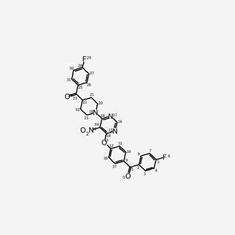 O=C(c1ccc(F)cc1)c1ccc(Oc2ncnc(N3CCC(C(=O)c4ccc(F)cc4)CC3)c2[N+](=O)[O-])cc1